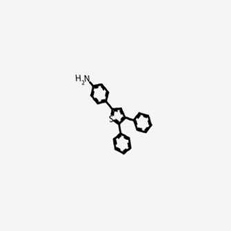 Nc1ccc(-c2cc(-c3ccccc3)c(-c3ccccc3)s2)cc1